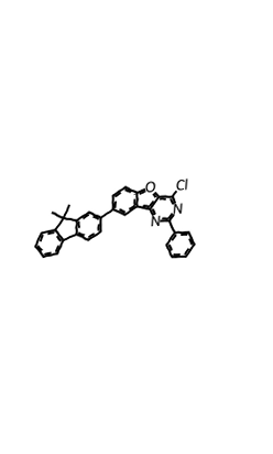 CC1(C)c2ccccc2-c2ccc(-c3ccc4oc5c(Cl)nc(-c6ccccc6)nc5c4c3)cc21